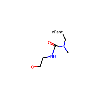 CCCCCCN(C)C(=O)NCC[O]